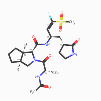 CC(C)(C)[C@H](NC(=O)C(F)(F)F)C(=O)N1C[C@H]2CCC[C@H]2[C@H]1C(=O)N[C@@H](/C=C(/F)S(C)(=O)=O)C[C@H]1CCNC1=O